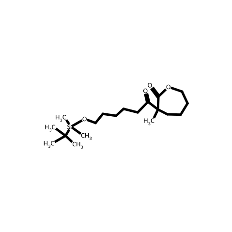 CC1(C(=O)CCCCCO[Si](C)(C)C(C)(C)C)CCCCOC1=O